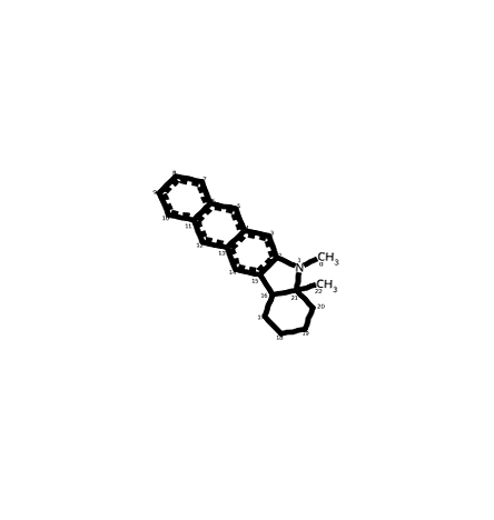 CN1c2cc3cc4ccccc4cc3cc2C2CCCCC21C